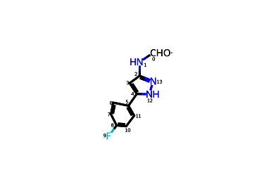 O=[C]Nc1cc(-c2ccc(F)cc2)[nH]n1